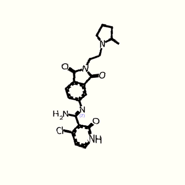 CC1CCCN1CCN1C(=O)c2ccc(/N=C(\N)c3c(Cl)cc[nH]c3=O)cc2C1=O